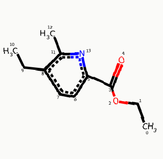 CCOC(=O)c1ccc(CC)c(C)n1